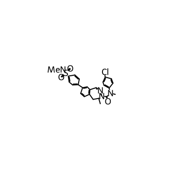 CNS(=O)(=O)c1ccc(-c2ccc3c(c2)C=NN(C(=O)N(C)c2ccc(Cl)cc2)C(C)C3)cc1